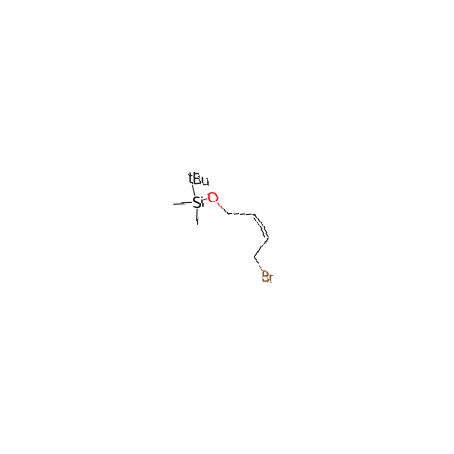 CC(C)(C)[Si](C)(C)OC/C=C\CBr